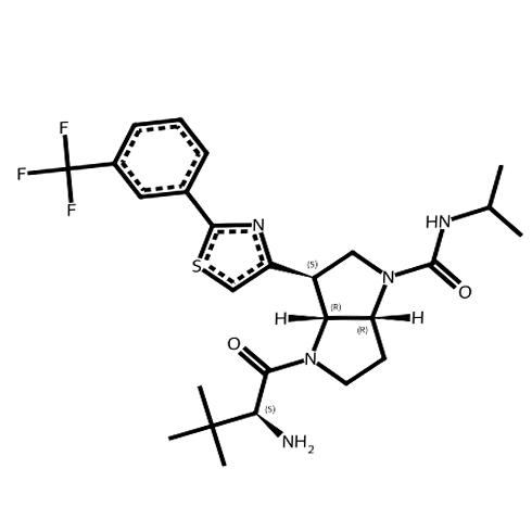 CC(C)NC(=O)N1C[C@H](c2csc(-c3cccc(C(F)(F)F)c3)n2)[C@@H]2[C@H]1CCN2C(=O)[C@@H](N)C(C)(C)C